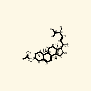 CC(=O)O[C@H]1CC[C@]2(C)C(=CC=C3[C@H]2CC[C@]2(C)[C@@H]([C@H](C)C=C[C@H](C)C(C)C)CC[C@@H]32)C1